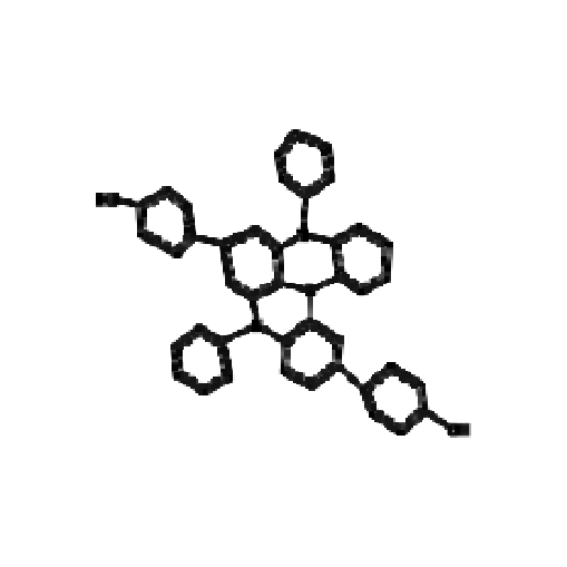 Oc1ccc(-c2ccc3c(c2)B2c4ccccc4N(c4ccccc4)c4cc(-c5ccc(O)cc5)cc(c42)N3c2ccccc2)cc1